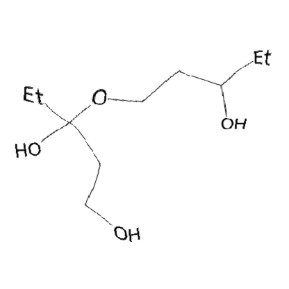 CCC(O)CCOC(O)(CC)CCO